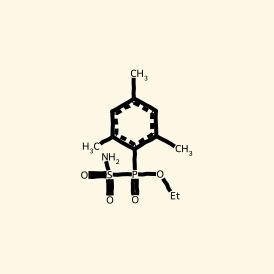 CCOP(=O)(c1c(C)cc(C)cc1C)S(N)(=O)=O